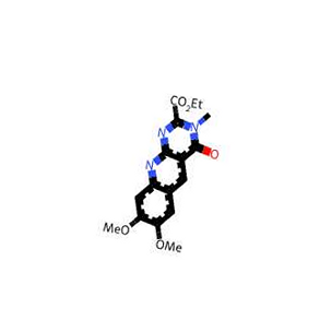 CCOC(=O)c1nc2nc3cc(OC)c(OC)cc3cc2c(=O)n1C